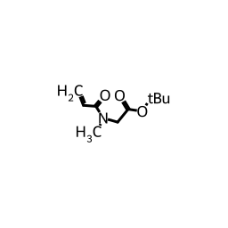 C=CC(=O)N(C)CC(=O)OC(C)(C)C